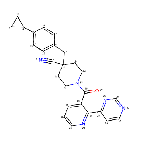 N#CC1(Cc2ccc(C3CC3)cc2)CCN(C(=O)c2cccnc2-c2ccncn2)CC1